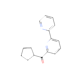 O=C(c1cccc(-c2ccccn2)n1)C1CCCC1